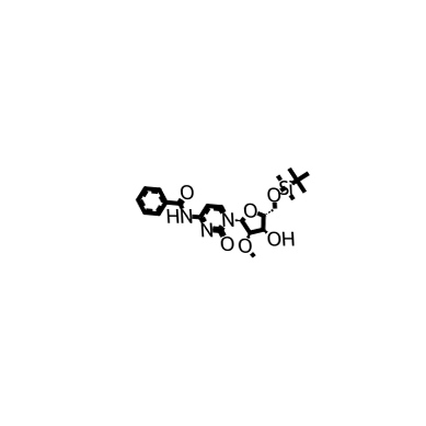 CO[C@@H]1[C@H](O)[C@@H](CO[Si](C)(C)C(C)(C)C)O[C@H]1n1ccc(NC(=O)c2ccccc2)nc1=O